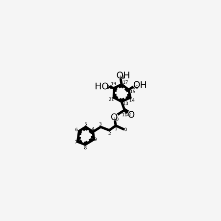 CC(CCc1ccccc1)OC(=O)c1cc(O)c(O)c(O)c1